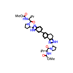 COC(=O)NC(C(=O)N1CCC[C@H]1c1nc2ccc(-c3ccc4c(c3)CCc3[nH]c([C@@H]5CCCN5C(=O)[C@@H](NC(=O)OC)C(C)C)nc3-4)cc2[nH]1)C(C)C